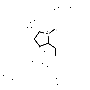 CN1CCCC1CI